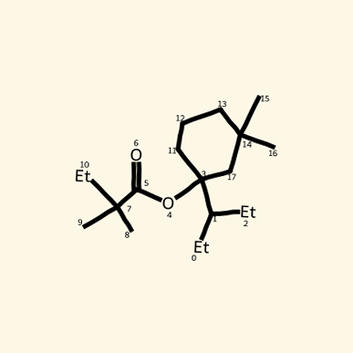 CCC(CC)C1(OC(=O)C(C)(C)CC)CCCC(C)(C)C1